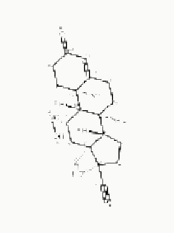 C#C[C@]1(O)CC[C@H]2[C@@H]3CCC4=CC(=O)CC[C@]4(C)[C@H]3CC[C@@]21C.O=[N+]([O-])O